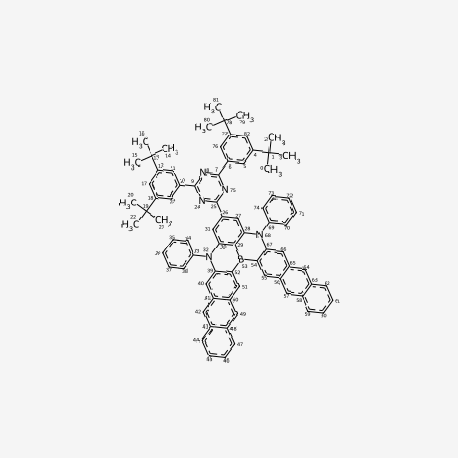 CC(C)(C)c1cc(-c2nc(-c3cc(C(C)(C)C)cc(C(C)(C)C)c3)nc(-c3cc4c5c(c3)N(c3ccccc3)c3cc6cc7ccccc7cc6cc3B5c3cc5cc6ccccc6cc5cc3N4c3ccccc3)n2)cc(C(C)(C)C)c1